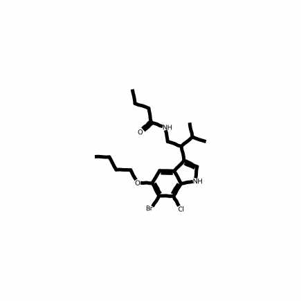 CCCCOc1cc2c(C(CNC(=O)CCC)C(C)C)c[nH]c2c(Cl)c1Br